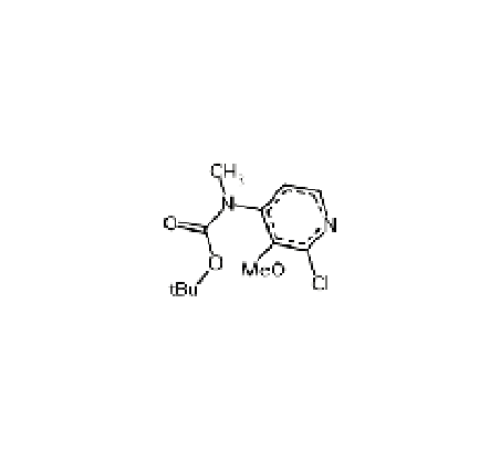 COc1c(N(C)C(=O)OC(C)(C)C)ccnc1Cl